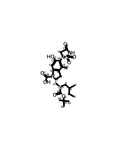 CCC(C)CN(C[C@H]1Cc2c(cc(O)c(N3CC(=O)NS3(=O)=O)c2F)N1C(=O)O)C(=O)OC(C)(C)C